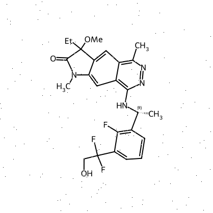 CCC1(OC)C(=O)N(C)c2cc3c(N[C@H](C)c4cccc(C(F)(F)CO)c4F)nnc(C)c3cc21